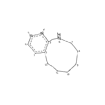 c1cc2c(nn1)NCCCCCC2